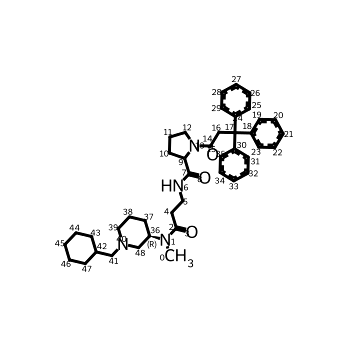 CN(C(=O)CCNC(=O)C1CCCN1C(=O)CC(c1ccccc1)(c1ccccc1)c1ccccc1)[C@@H]1CCCN(CC2CCCCC2)C1